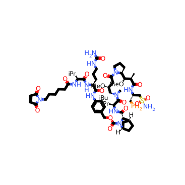 CC[C@H](C)[C@@H]([C@@H](CC(=O)N1CCC[C@H]1[C@H](OC)[C@@H](C)C(=O)N[C@@H](CP)CS(N)(=O)=O)OC)N(C)C(=O)[C@@H](NC(=O)[C@@H]1[C@H]2CC[C@H](C2)N1C(=O)OCc1ccc(NC(=O)[C@H](CCCNC(N)=O)NC(=O)[C@@H](NC(=O)CCCCCN2C(=O)C=CC2=O)C(C)C)cc1)C(C)C